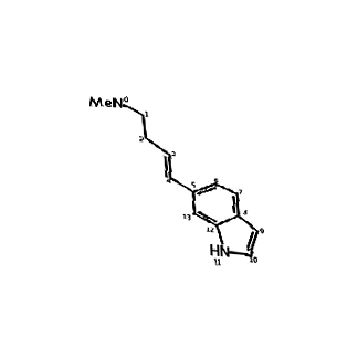 CNCC/C=C/c1ccc2cc[nH]c2c1